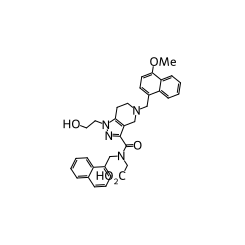 COc1ccc(CN2CCc3c(c(C(=O)N(CC(=O)O)Cc4cccc5ccccc45)nn3CCO)C2)c2ccccc12